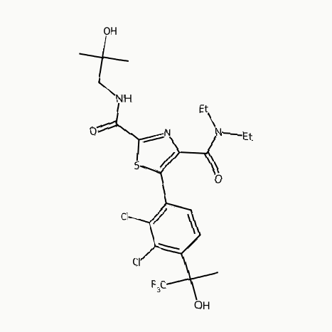 CCN(CC)C(=O)c1nc(C(=O)NCC(C)(C)O)sc1-c1ccc(C(C)(O)C(F)(F)F)c(Cl)c1Cl